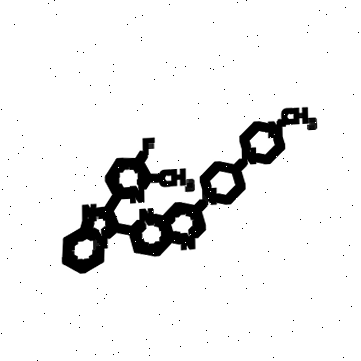 Cc1nc(-c2nc3ccccn3c2-c2ccc3ncc(N4CCC(N5CCN(C)CC5)CC4)cc3n2)ccc1F